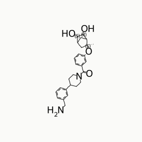 C[C@]1(Oc2cccc(C(=O)N3CCC(c4cccc(CN)c4)CC3)c2)CC2CC1[C@@H](O)[C@H]2O